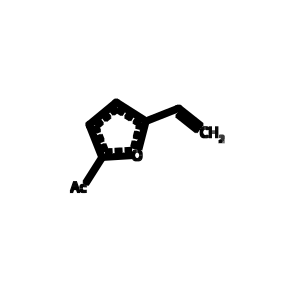 C=Cc1ccc(C(C)=O)o1